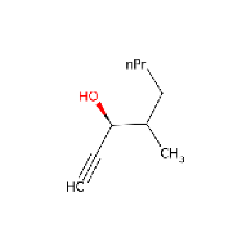 C#C[C@@H](O)C(C)CCCC